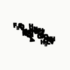 CC1(NC(=O)O[C@@H]2CO[C@H](c3cc(Nc4nc(C5CC5)cc5nc(COC(F)(F)F)cn45)n[nH]3)[C@H]2F)CC1